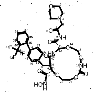 O=C(CN1CCOCC1)NC(=O)[C@@H]1CCCCNC(=O)OCCC[C@H](C(=O)NO)[C@@H](Cc2ccc(-c3ccccc3C(F)(F)F)cc2)C(=O)N1